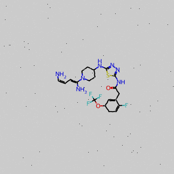 N/C=C\C=C(/N)N1CCC(Nc2nnc(NC(=O)CC3=CC(OC(F)(F)F)CC=C3F)s2)CC1